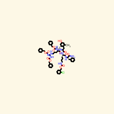 Cc1cc(O)cc(C)c1CC(NC(=O)C(CCCN/C(=N\C(=O)OCc1ccccc1)NC(=O)OCc1ccccc1)NC(=O)OCc1ccccc1)C(=O)N[C@@H](CCCCNC(=O)OCc1ccccc1Cl)C(=O)N[C@@H](Cc1ccccc1)C(N)=O